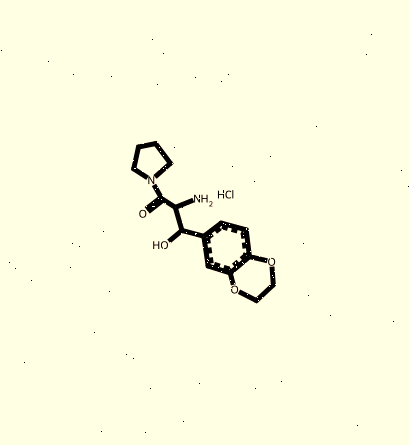 Cl.NC(C(=O)N1CCCC1)C(O)c1ccc2c(c1)OCCO2